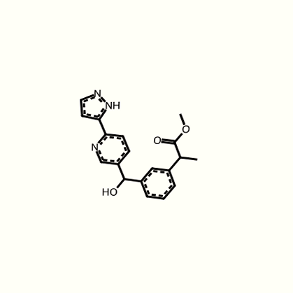 COC(=O)C(C)c1cccc(C(O)c2ccc(-c3ccn[nH]3)nc2)c1